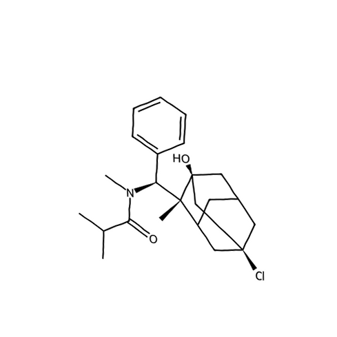 CC(C)C(=O)N(C)[C@@H](c1ccccc1)[C@@]1(C)C2CC3C[C@](Cl)(C2)C[C@@]1(O)C3